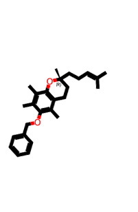 CC(C)=CCC[C@]1(C)CCc2c(C)c(OCc3ccccc3)c(C)c(C)c2O1